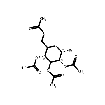 CC(=O)OCC1O[C@H](Br)[C@H](OC(C)=O)C(OC(C)=O)[C@@H]1OC(C)=O